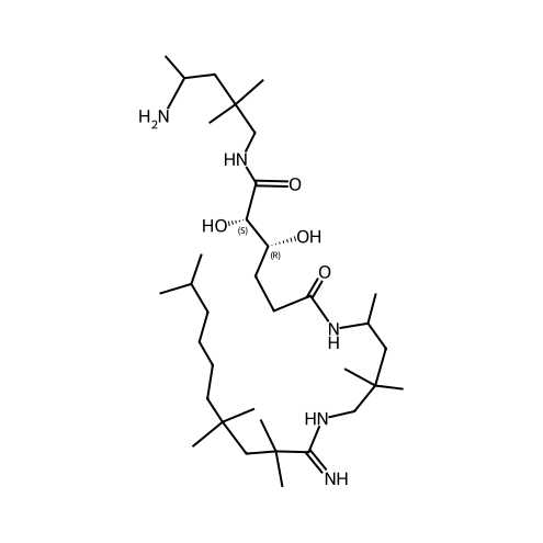 CC(C)CCCCC(C)(C)CC(C)(C)C(=N)NCC(C)(C)CC(C)NC(=O)CC[C@@H](O)[C@H](O)C(=O)NCC(C)(C)CC(C)N